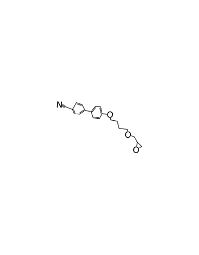 N#Cc1ccc(-c2ccc(OCCCCOCC3CO3)cc2)cc1